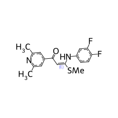 CS/C(=C/C(=O)c1cc(C)nc(C)c1)Nc1ccc(F)c(F)c1